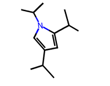 CC(C)c1cc(C(C)C)n(C(C)C)c1